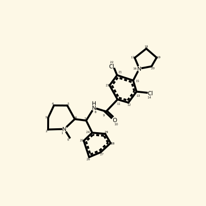 CN1CCCCC1C(NC(=O)c1cc(Cl)c(N2CCCC2)c(Cl)c1)c1ccccc1